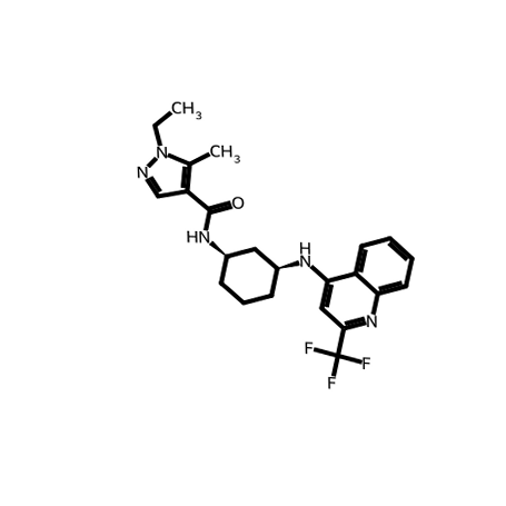 CCn1ncc(C(=O)N[C@@H]2CCC[C@H](Nc3cc(C(F)(F)F)nc4ccccc34)C2)c1C